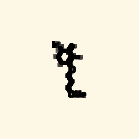 C=C1C(C)=C(OCCCOC)CCC1CC